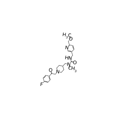 COCc1ccc(CNC(=O)N(C)CC2CCN(CC(=O)c3ccc(F)cc3)CC2)cn1